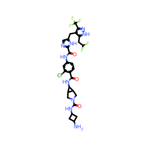 NC1CC(NC(=O)N2CC3C(C2)C3NC(=O)c2ccc(NC(=O)c3ncc(Cc4c(C(F)(F)F)n[nH]c4CC(F)F)[nH]3)cc2Cl)C1